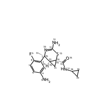 C[C@]1(c2cc(N)ccc2F)N=C(N)S[C@@]2(C(=O)NC3CC3)C[C@H]21